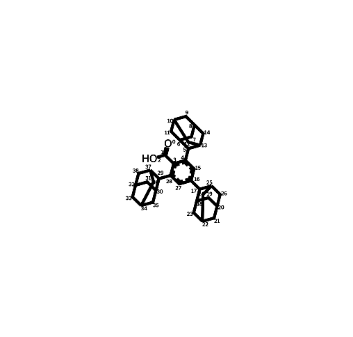 O=C(O)c1c(C2C3CC4CC(C3)CC2C4)cc(C2C3CC4CC(C3)CC2C4)cc1C1C2CC3CC(C2)CC1C3